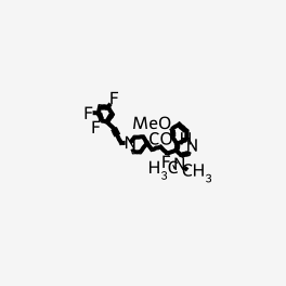 COc1ccc2ncc(N(C)C)c(C(F)CCC3(C(=O)O)CCN(CC#Cc4cc(F)cc(F)c4F)CC3)c2c1